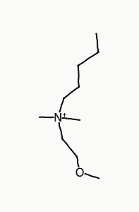 CCCCC[N+](C)(C)CCOC